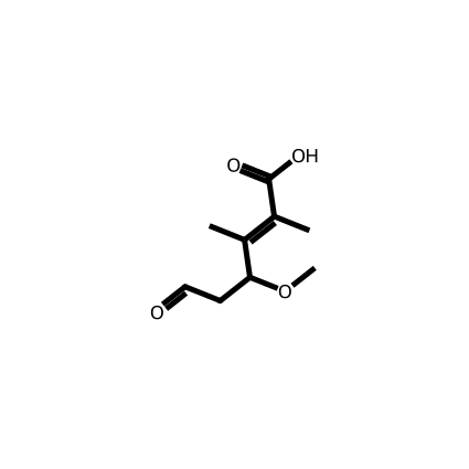 COC(CC=O)C(C)=C(C)C(=O)O